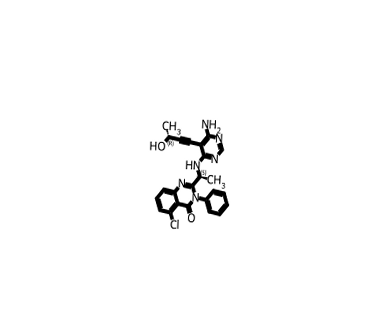 C[C@H](Nc1ncnc(N)c1C#C[C@@H](C)O)c1nc2cccc(Cl)c2c(=O)n1-c1ccccc1